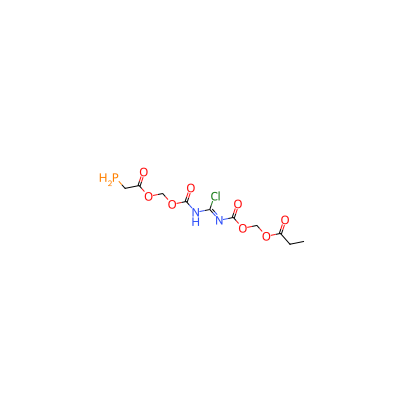 CCC(=O)OCOC(=O)/N=C(\Cl)NC(=O)OCOC(=O)CP